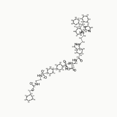 O=C(NCCNS(=O)(=O)c1ccc(-c2ccc(S(=O)(=O)N[C@@H](CNC(=O)c3ccc4c(cnn4CCCNc4nccn4C(c4ccccc4)(c4ccccc4)c4ccccc4)c3)C(=O)O)cc2)cc1)OCc1ccccc1